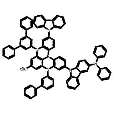 CC(C)(C)c1cc2c3c(c1)N(c1cccc(-c4ccccc4)c1)c1cc(-n4c5ccccc5c5cc(N(c6ccccc6)c6ccccc6)ccc54)ccc1B3c1ccc(-n3c4ccccc4c4ccccc43)cc1N2c1cc(-c2ccccc2)cc(-c2ccccc2)c1